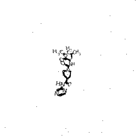 COC(=O)[C@H](CC(C)C)NC(=O)N1CCC(C(=O)Nc2cnccn2)CC1